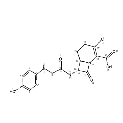 O=C(CNc1ccc(O)cc1)N[C@H]1C(=O)N2C(C(=O)O)=C(Cl)CCC12